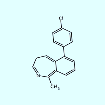 CC1=c2cccc(-c3ccc(Cl)cc3)c2=CCC=N1